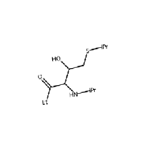 CCC(=O)C(NC(C)C)C(O)CSC(C)C